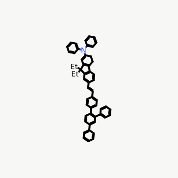 CCC1(CC)C2=C(CCC(N(c3ccccc3)c3ccccc3)=C2)c2ccc(/C=C/c3ccc(-c4ccc(-c5ccccc5)cc4-c4ccccc4)cc3)cc21